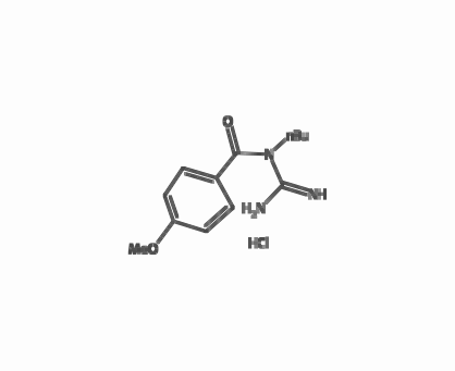 CCCCN(C(=N)N)C(=O)c1ccc(OC)cc1.Cl